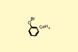 BrOc1ccccc1.[GeH4]